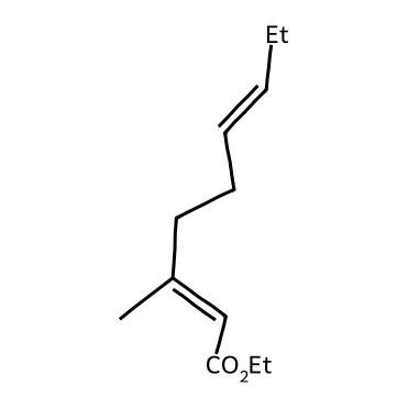 CCC=CCCC(C)=CC(=O)OCC